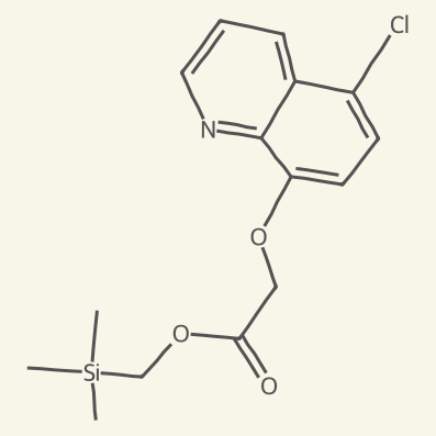 C[Si](C)(C)COC(=O)COc1ccc(Cl)c2cccnc12